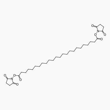 O=C(CCCCCCCCCCCCCCCCCCCCCCC(=O)ON1C(=O)CCC1=O)ON1C(=O)CCC1=O